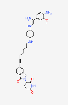 COc1cc(/C(N)=C/NC2CCC(NCCCCCC#Cc3ccc4c(c3)CN(C3CCC(=O)NC3=O)C4=O)CC2)ccc1N